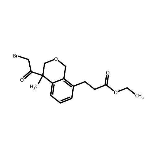 CCOC(=O)CCc1cccc2c1COCC2(C)C(=O)CBr